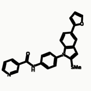 CSc1cc2cc(-c3ccco3)ccc2n1-c1ccc(NC(=O)c2cccnc2)cc1